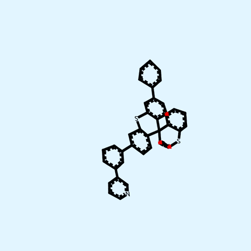 c1ccc(-c2ccc3c(c2)Sc2cc(-c4cccc(-c5cccnc5)c4)ccc2C32c3ccccc3Sc3ccccc32)cc1